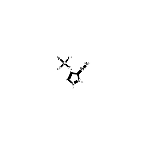 F[B-](F)(F)F.[N-]=[N+]=C1C=CN=N1